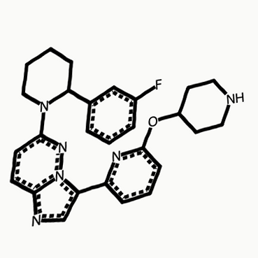 Fc1cccc(C2CCCCN2c2ccc3ncc(-c4cccc(OC5CCNCC5)n4)n3n2)c1